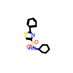 O=S(=O)(NC1CCCCC1)c1csc(-c2ccccc2)n1